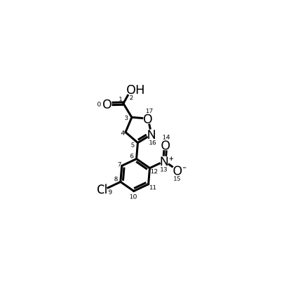 O=C(O)C1CC(c2cc(Cl)ccc2[N+](=O)[O-])=NO1